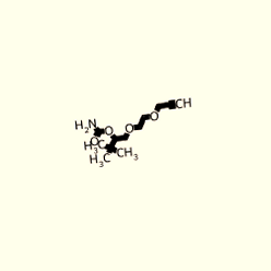 C#CCOCCOCC(OC(N)=O)C(C)(C)C